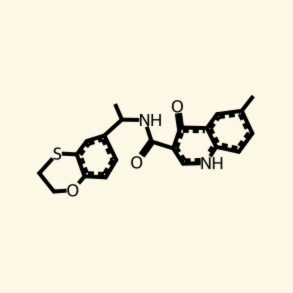 Cc1ccc2[nH]cc(C(=O)NC(C)c3ccc4c(c3)SCCO4)c(=O)c2c1